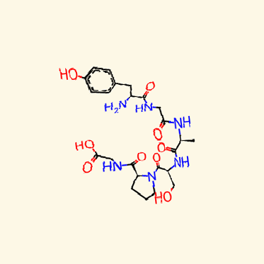 C[C@H](NC(=O)CNC(=O)[C@@H](N)Cc1ccc(O)cc1)C(=O)N[C@@H](CO)C(=O)N1CCC[C@H]1C(=O)NCC(=O)O